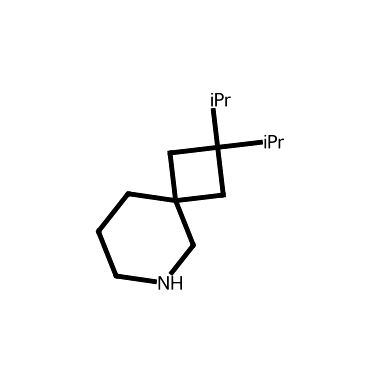 CC(C)C1(C(C)C)CC2(CCCNC2)C1